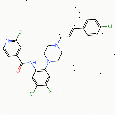 O=C(Nc1cc(Cl)c(Cl)cc1N1CCN(C/C=C/c2ccc(Cl)cc2)CC1)c1ccnc(Cl)c1